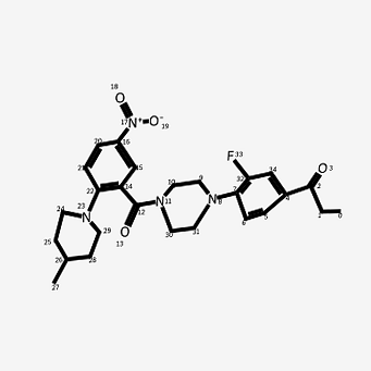 CCC(=O)c1ccc(N2CCN(C(=O)c3cc([N+](=O)[O-])ccc3N3CCC(C)CC3)CC2)c(F)c1